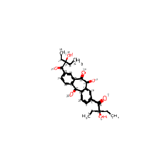 CCC(O)(CC)C(=O)c1ccc2c(c1)C(=O)C(=O)c1cc(C(=O)C(O)(CC)CC)ccc1C2=O